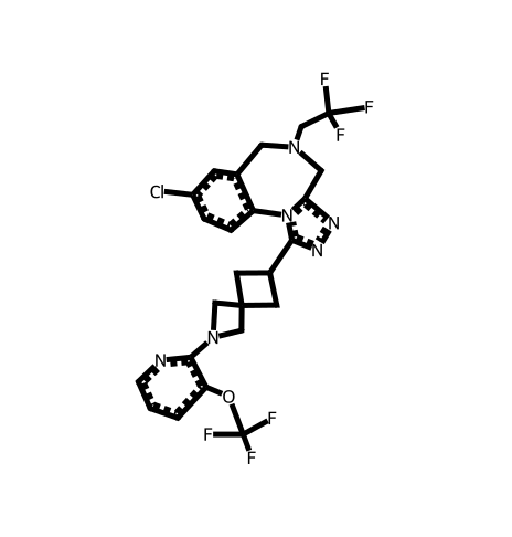 FC(F)(F)CN1Cc2cc(Cl)ccc2-n2c(nnc2C2CC3(C2)CN(c2ncccc2OC(F)(F)F)C3)C1